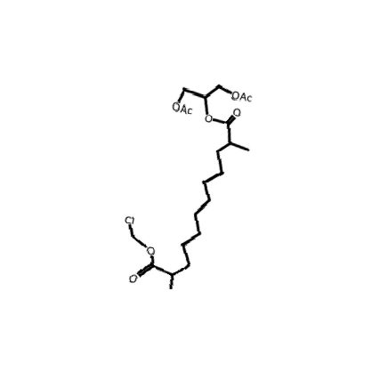 CC(=O)OCC(COC(C)=O)OC(=O)C(C)CCCCCCCCC(C)C(=O)OCCl